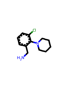 NCc1cccc(Cl)c1N1CCCCC1